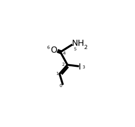 CC=C(I)C(N)=O